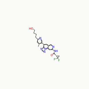 Cc1cc(CCCCO)ncc1-c1cc2cnc(NC(=O)[C@H]3CC3(F)F)cc2n2ncnc12